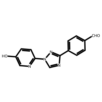 O=Cc1ccc(-c2ncn(-c3ccc(O)cn3)n2)cc1